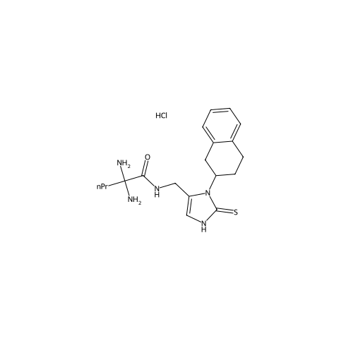 CCCC(N)(N)C(=O)NCc1c[nH]c(=S)n1C1CCc2ccccc2C1.Cl